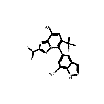 Cc1cc(-c2c(C(F)(F)F)cc(C)c3nc(C(F)F)nn23)cc2cn[nH]c12